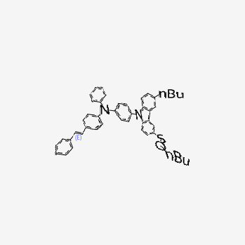 CCCCOSc1ccc2c(c1)c1cc(CCCC)ccc1n2-c1ccc(N(c2ccccc2)c2ccc(/C=C/c3ccccc3)cc2)cc1